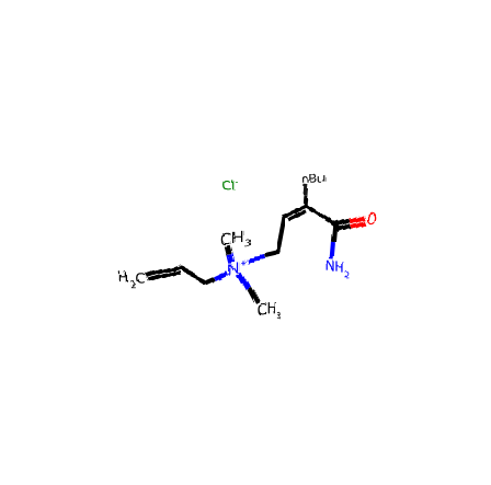 C=CC[N+](C)(C)CC=C(CCCC)C(N)=O.[Cl-]